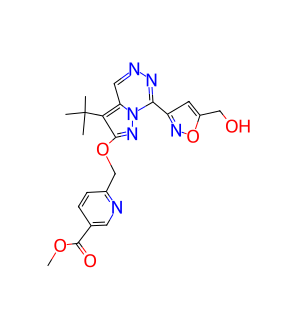 COC(=O)c1ccc(COc2nn3c(-c4cc(CO)on4)nncc3c2C(C)(C)C)nc1